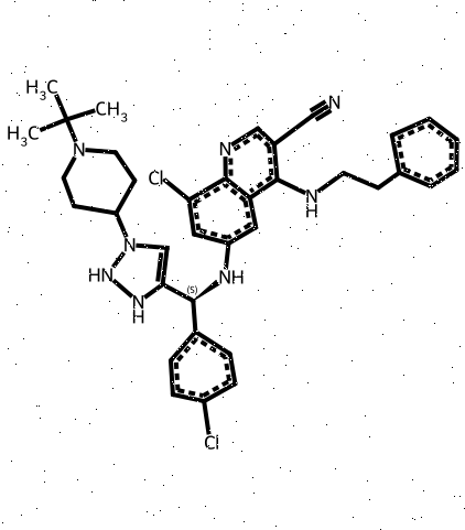 CC(C)(C)N1CCC(N2C=C([C@@H](Nc3cc(Cl)c4ncc(C#N)c(NCCc5ccccc5)c4c3)c3ccc(Cl)cc3)NN2)CC1